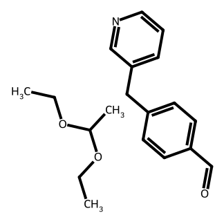 CCOC(C)OCC.O=Cc1ccc(Cc2cccnc2)cc1